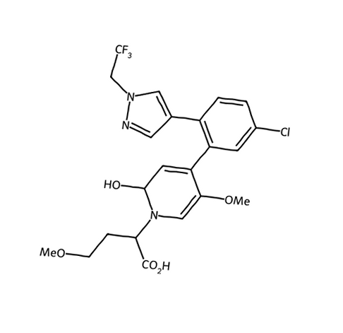 COCCC(C(=O)O)N1C=C(OC)C(c2cc(Cl)ccc2-c2cnn(CC(F)(F)F)c2)=CC1O